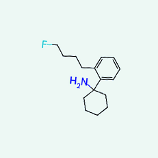 NC1(c2ccccc2CCCCF)CCCCC1